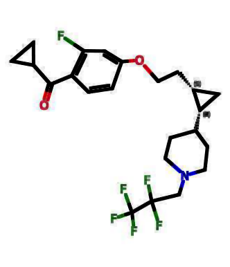 O=C(c1ccc(OCC[C@@H]2C[C@@H]2C2CCN(CC(F)(F)C(F)(F)F)CC2)cc1F)C1CC1